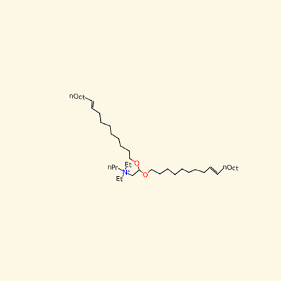 CCCCCCCCC=CCCCCCCCCOC(C[N+](CC)(CC)CCC)OCCCCCCCCC=CCCCCCCCC